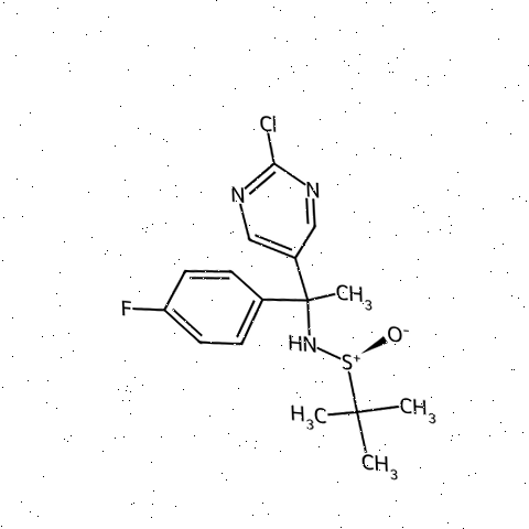 CC(N[S@@+]([O-])C(C)(C)C)(c1ccc(F)cc1)c1cnc(Cl)nc1